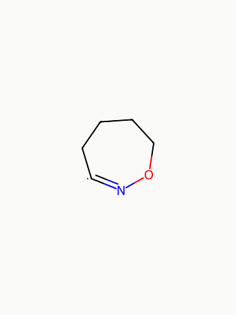 [C]1=NOCCCC1